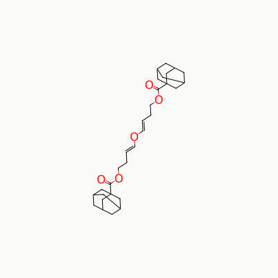 O=C(OCCC=COC=CCCOC(=O)C12CC3CC(CC(C3)C1)C2)C12CC3CC(CC(C3)C1)C2